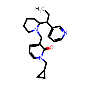 CCC(c1cccnc1)C1CCCCN1Cc1cccn(CC2CC2)c1=O